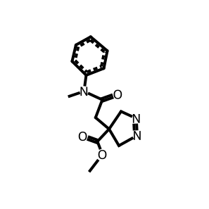 COC(=O)C1(CC(=O)N(C)c2ccccc2)CN=NC1